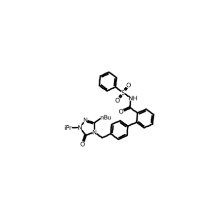 CCCCc1nn(C(C)C)c(=O)n1Cc1ccc(-c2ccccc2C(=O)NS(=O)(=O)c2ccccc2)cc1